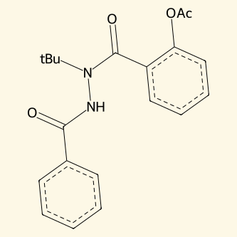 CC(=O)Oc1ccccc1C(=O)N(NC(=O)c1ccccc1)C(C)(C)C